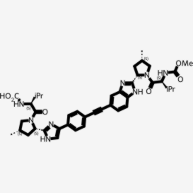 COC(=O)N[C@H](C(=O)N1C[C@@H](C)C[C@H]1c1nc2cc(C#Cc3ccc(-c4c[nH]c([C@@H]5C[C@H](C)CN5C(=O)[C@@H](NC(=O)O)C(C)C)n4)cc3)ccc2[nH]1)C(C)C